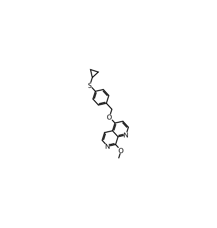 COc1nccc2c(OCc3ccc(SC4CC4)cc3)ccnc12